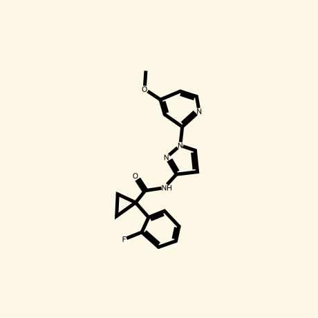 COc1ccnc(-n2ccc(NC(=O)C3(c4ccccc4F)CC3)n2)c1